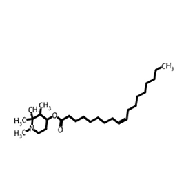 CCCCCCCC/C=C\CCCCCCCC(=O)OC1CCN(C)C(C)(C)C1C